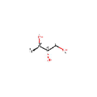 [CH2]C[C@@H](O)[C@@H](O)CO